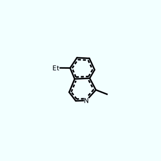 CCc1cccc2c(C)nccc12